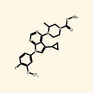 CC1CN(C(=O)OC(C)(C)C)CCN1c1ncnc2c1c(C1CC1)cn2-c1ccc(F)c(OC(F)(F)F)c1